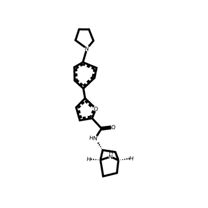 O=C(N[C@@H]1C[C@H]2CC[C@@H]1N2)c1ccc(-c2ccc(N3CCCC3)cc2)o1